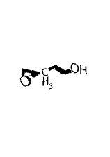 C1CO1.CC=CO